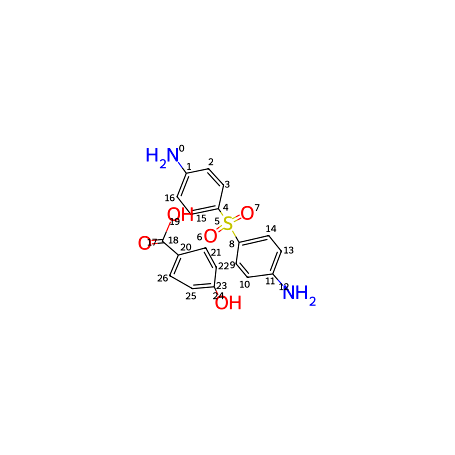 Nc1ccc(S(=O)(=O)c2ccc(N)cc2)cc1.O=C(O)c1ccc(O)cc1